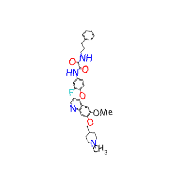 COc1cc2c(Oc3ccc(NC(=O)C(=O)NCCCc4ccccc4)cc3F)ccnc2cc1OCC1CCN(C)CC1